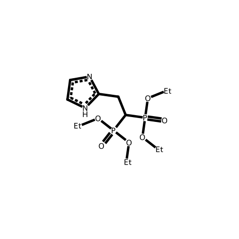 CCOP(=O)(OCC)C(Cc1ncc[nH]1)P(=O)(OCC)OCC